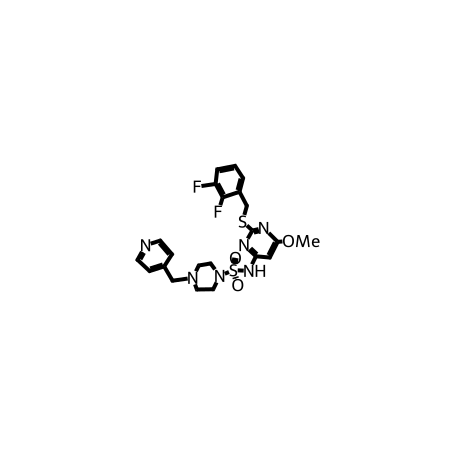 COc1cc(NS(=O)(=O)N2CCN(Cc3ccncc3)CC2)nc(SCc2cccc(F)c2F)n1